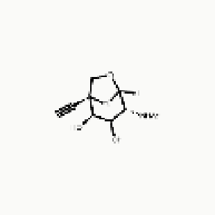 C#C[C@@]12CO[C@@H](O1)[C@H](NC(C)=O)[C@@H](O)[C@H]2O